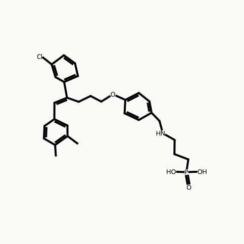 Cc1ccc(/C=C(\CCCOc2ccc(CNCCCP(=O)(O)O)cc2)c2cccc(Cl)c2)cc1C